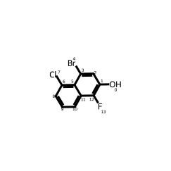 Oc1cc(Br)c2c(Cl)cccc2c1F